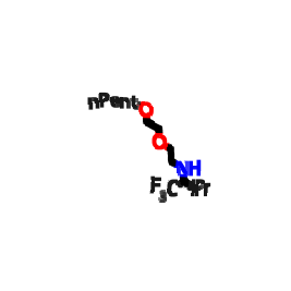 CCCCCOCCOCCNC(C(C)C)C(F)(F)F